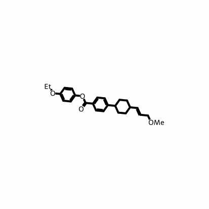 CCOc1ccc(OC(=O)c2ccc(C3CCC(C=CCOC)CC3)cc2)cc1